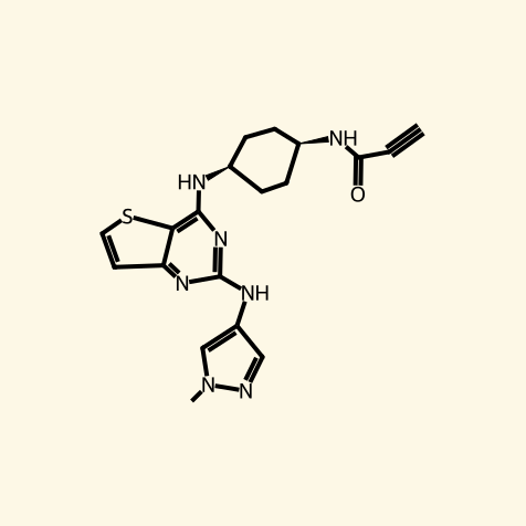 C#CC(=O)N[C@H]1CC[C@@H](Nc2nc(Nc3cnn(C)c3)nc3ccsc23)CC1